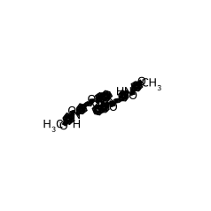 COc1ccc(C(=O)Nc2ccc(/C=C/C(=O)Oc3ccc4c(c3-c3c(OC(=O)/C=C/c5ccc(NC(=O)c6ccc(OC)cc6)cc5)ccc5ccccc35)=CCCC=4)cc2)cc1